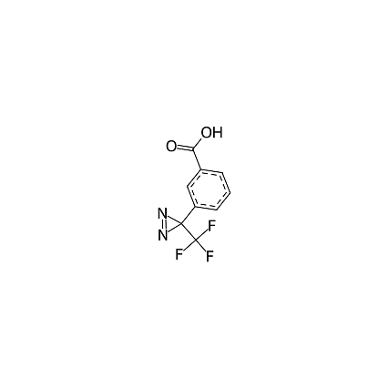 O=C(O)c1cccc(C2(C(F)(F)F)N=N2)c1